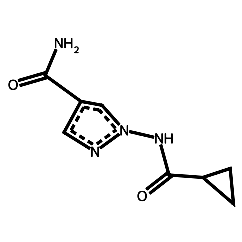 NC(=O)c1cnn(NC(=O)C2CC2)c1